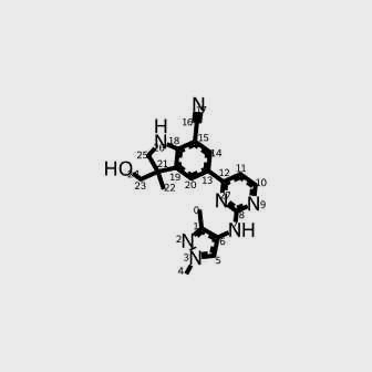 Cc1nn(C)cc1Nc1nccc(-c2cc(C#N)c3c(c2)C(C)(CO)CN3)n1